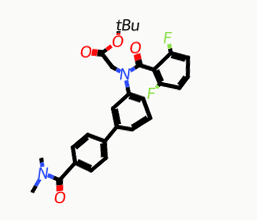 CN(C)C(=O)c1ccc(-c2cccc(N(CC(=O)OC(C)(C)C)C(=O)c3c(F)cccc3F)c2)cc1